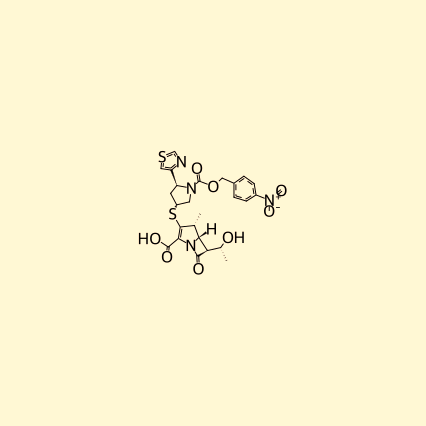 C[C@@H](O)[C@H]1C(=O)N2C(C(=O)O)=C(S[C@H]3C[C@@H](c4cscn4)N(C(=O)OCc4ccc([N+](=O)[O-])cc4)C3)[C@H](C)[C@H]12